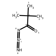 CC(C)(C)C(=O)N=[N+]=N